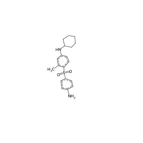 Cc1cc(NC2CCCCC2)ccc1S(=O)(=O)c1ccc(N)cc1